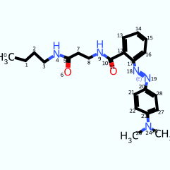 CCCCNC(=O)CCNC(=O)c1ccccc1/N=N/c1ccc(N(C)C)cc1